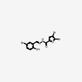 O=C(N/N=C/c1cc(Br)ccc1O)c1cc(Br)c(Br)o1